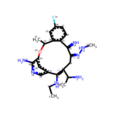 CCN/C1=C(\C(C)N)C/C(=N/NC)C(=N)c2ccc(F)cc2C(C)Oc2cc1cnc2N